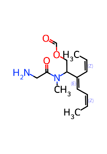 C\C=C/C=C(\C=C/C)C(COC=O)N(C)C(=O)CN